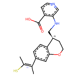 C/C(S)=C(/C)c1ccc2c(c1)OCC[C@@H]2CNc1cnccc1C(=O)O